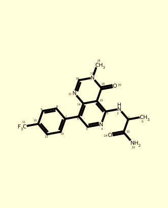 CC(Nc1ncc(-c2ccc(C(F)(F)F)cc2)c2ncn(C)c(=O)c12)C(N)=O